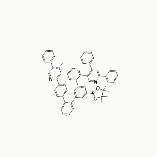 Cc1cc(-c2ccc(-c3ccccc3-c3cc(B4OC(C)(C)C(C)(C)O4)cc(-c4ccccc4-c4cnc(-c5ccccc5)cc4-c4ccccc4)c3)cc2)ncc1-c1ccccc1